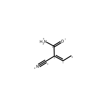 C/C=C(/C#N)C(N)=O